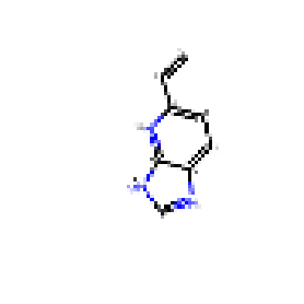 C=Cc1ccc2nc[nH]c2n1